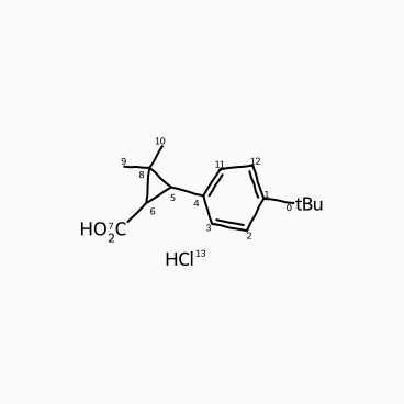 CC(C)(C)c1ccc(C2C(C(=O)O)C2(C)C)cc1.Cl